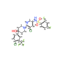 O=S(=O)(Nc1cnc(N2CCC(O)(c3ccc(Cl)c(C(F)(F)F)c3)CC2)c(Cl)c1)c1ccc(F)cc1F